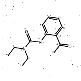 CCN(CC)C(=O)Nc1cc[c]cc1C(C)=O